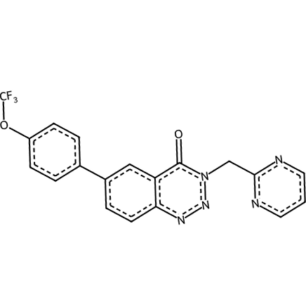 O=c1c2cc(-c3ccc(OC(F)(F)F)cc3)ccc2nnn1Cc1ncccn1